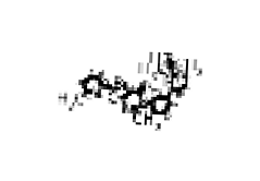 Cc1cccc(COc2nc(C)n(-c3cccc(-c4ccnc(C(C)(C)O)n4)c3)c(=O)c2Br)n1